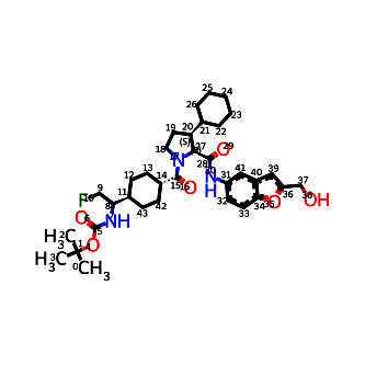 CC(C)(C)OC(=O)NC(CF)[C@H]1CC[C@H](C(=O)N2CC[C@@H](C3CCCCC3)[C@H]2C(=O)Nc2ccc3oc(CO)cc3c2)CC1